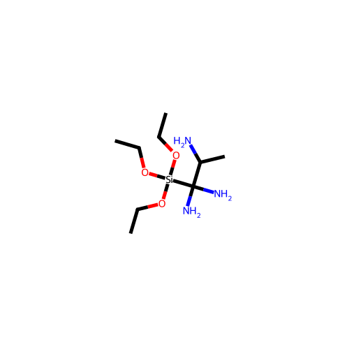 CCO[Si](OCC)(OCC)C(N)(N)C(C)N